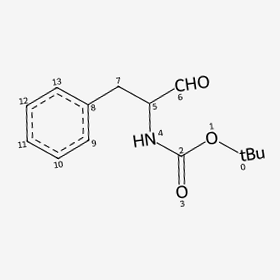 CC(C)(C)OC(=O)NC(C=O)Cc1ccccc1